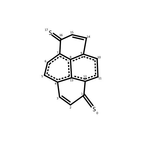 S=C1C=Cc2ccc3c4c(ccc1c24)C=CC3=S